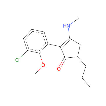 CCCC1CC(NC)=C(c2cccc(Cl)c2OC)C1=O